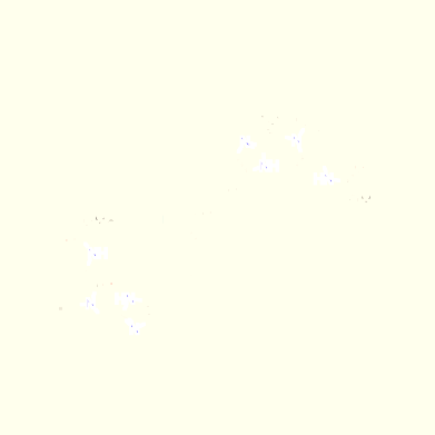 CCCN(Cc1ncc(-c2ccc3c(c2)C(F)(F)c2cc(-c4ccc5nc([C@@H]6[C@H]7CC[C@H](C7)N6C(=O)CNC(=O)OC)[nH]c5c4)ccc2-3)[nH]1)C(=O)CNC(=O)OC